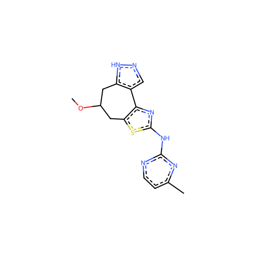 COC1Cc2[nH]ncc2-c2nc(Nc3nccc(C)n3)sc2C1